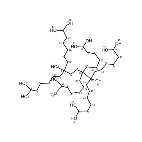 OC(O)CCCCCC(O)(CCCCCC(O)O)CCC(CCCCCC(O)O)(CCCCCC(O)O)C(O)(CCCCCC(O)O)CCCCCC(O)O